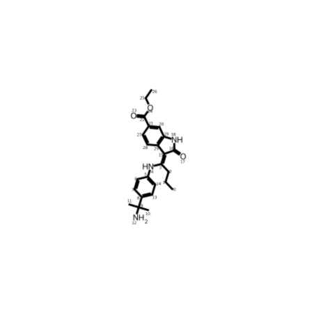 CCCC(Nc1ccc(C(C)(C)N)cc1)=C1C(=O)Nc2cc(C(=O)OCC)ccc21